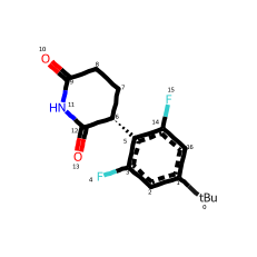 CC(C)(C)c1cc(F)c([C@H]2CCC(=O)NC2=O)c(F)c1